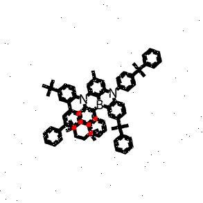 Cc1cc2c3c(c1)N(c1ccc(C(C)(C)C)cc1-c1cc(-c4ccccc4)cc(-c4ccccc4)c1)c1cc4c(cc1B3c1cc(C(C)(C)c3ccccc3)ccc1N2c1ccc(C(C)(C)c2ccccc2)cc1)C(C)(C)CCC4(C)C